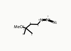 COC(C)(C)CCN=[N+]=[N-]